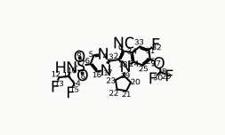 N#Cc1c(-c2ncc(S(=O)(=O)NC(CF)CF)cn2)n(C2CCCC2)c2cc(OC(F)F)c(F)cc12